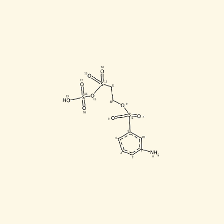 Nc1cccc(S(=O)(=O)OCCS(=O)(=O)OS(=O)(=O)O)c1